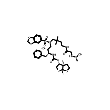 CB(O)NCC(=O)NCCC(C)(C)CN(C[C@@H](O)[C@H](Cc1ccccc1)NC(=O)O[C@H]1CO[C@H]2OCC[C@H]21)S(=O)(=O)c1ccc2c(c1)OCO2